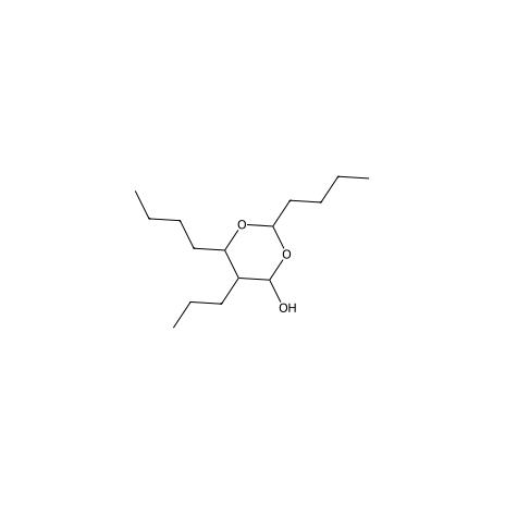 CCCCC1OC(O)C(CCC)C(CCCC)O1